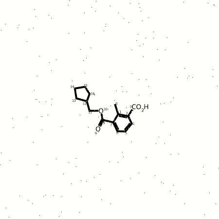 Cc1c(C(=O)O)cccc1C(=O)OCC1CCCC1